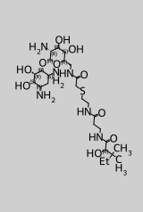 CCC(C)(C)[C@@H](O)C(=O)NCCC(=O)NCCSCC(=O)NC[C@H]1O[C@H](O[C@H]2[C@H](O)[C@@H](O)[C@H](N)C[C@@H]2N)[C@H](N)[C@@H](O)[C@@H]1O